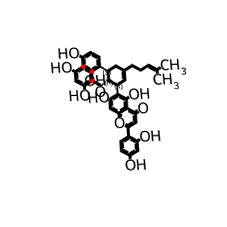 CC(C)=CCCC1=C[C@@H](c2c(O)cc3oc(-c4ccc(O)cc4O)cc(=O)c3c2O)[C@H](C(=O)c2ccc(O)cc2O)[C@@H](c2ccc(O)cc2O)C1